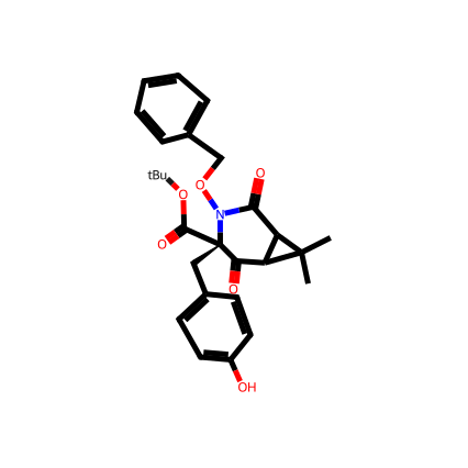 CC(C)(C)OC(=O)[C@@]1(Cc2ccc(O)cc2)C(=O)C2C(C(=O)N1OCc1ccccc1)C2(C)C